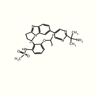 CC(C)(N)c1ncc(-c2ccc3nc4n(c3c2)[C@@H](c2c(NS(C)(=O)=O)cccc2OC(F)F)CC4)cn1